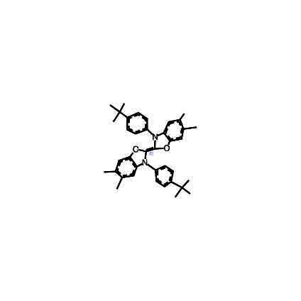 Cc1cc2c(cc1C)N(c1ccc(C(C)(C)C)cc1)/C(=C1\Oc3cc(C)c(C)cc3N1c1ccc(C(C)(C)C)cc1)O2